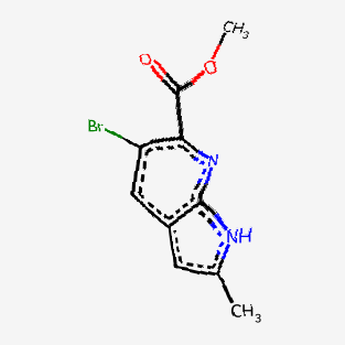 COC(=O)c1nc2[nH]c(C)cc2cc1Br